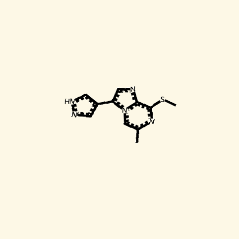 CSc1nc(C)cn2c(-c3cn[nH]c3)cnc12